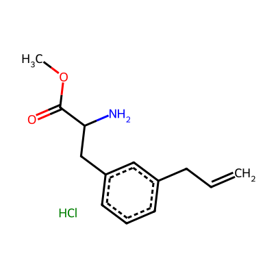 C=CCc1cccc(CC(N)C(=O)OC)c1.Cl